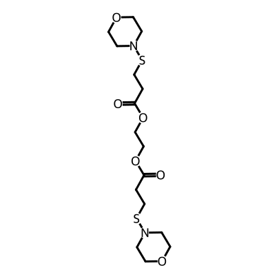 O=C(CCSN1CCOCC1)OCCOC(=O)CCSN1CCOCC1